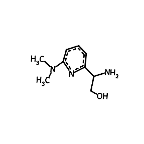 CN(C)c1cccc(C(N)CO)n1